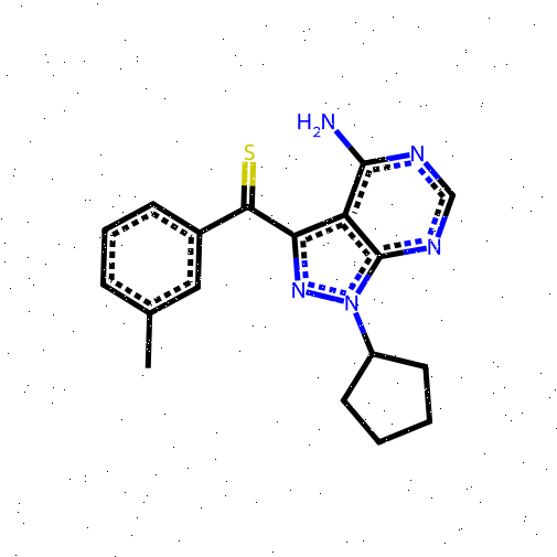 Cc1cccc(C(=S)c2nn(C3CCCC3)c3ncnc(N)c23)c1